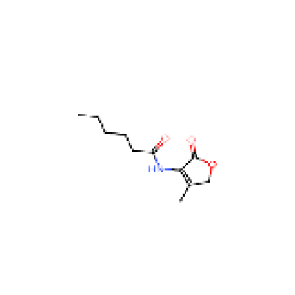 CCCCCC(=O)NC1=C(C)COC1=O